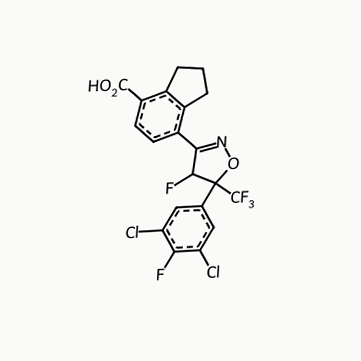 O=C(O)c1ccc(C2=NOC(c3cc(Cl)c(F)c(Cl)c3)(C(F)(F)F)C2F)c2c1CCC2